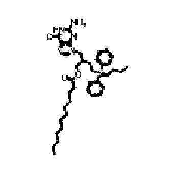 CCCCCCCCCCCC(=O)OCC(CC[Si](CCCC)(c1ccccc1)c1ccccc1)Cn1cnc2c(=O)[nH]c(N)nc21